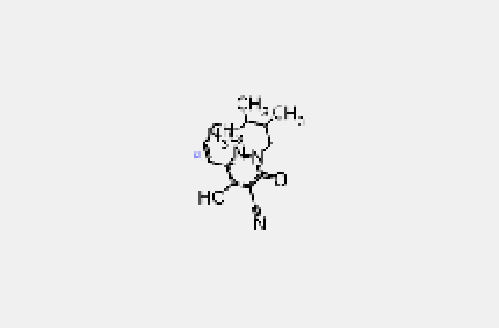 C/C=C\c1nn(CC(C)C(C)C)c(=O)c(C#N)c1O